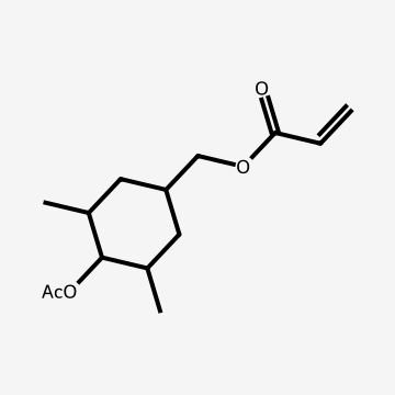 C=CC(=O)OCC1CC(C)C(OC(C)=O)C(C)C1